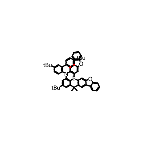 CC(C)(C)c1ccc(-c2cc(C(C)(C)C)ccc2N2c3cc4c(cc3B3c5cc6oc7ccccc7c6cc5C(C)(C)c5cc(C(C)(C)C)cc2c53)oc2ccccc24)cc1